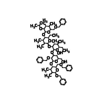 CCC1O[C@@H](OC2[C@H](OC3[C@H](O)C(CO)O[C@@H](O[C@@H]4C(COCc5ccccc5)O[C@@H](OCc5ccccc5)[C@@H](C)C4C)[C@@H]3OCc3ccccc3)OC(CC)[C@H](C)[C@H]2C)[C@@H](C)C(C)[C@@H]1O[C@@H]1OC(COCc2ccccc2)[C@H](C)C(C)[C@@H]1OC(C)=O